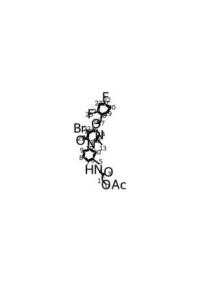 CC(=O)OCC(=O)NCc1cccc(-n2c(C)nc(OCc3ccc(F)cc3F)c(Br)c2=O)c1